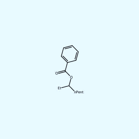 CCCCCC(CC)OC(=O)c1ccccc1